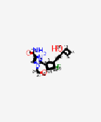 NC(=O)c1cn2c(n1)-c1cc(C#CC3(O)CCC3)c(F)cc1OCC2